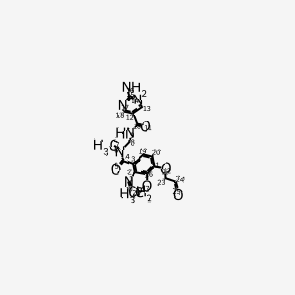 C=Nc1c(C(=O)N(C)CNC(=O)c2cnc(N)nc2)ccc(OCC=O)c1OC